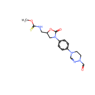 COC(=S)NCC1CN(c2ccc(N3C=NN(C=O)CC3)cc2)C(=O)O1